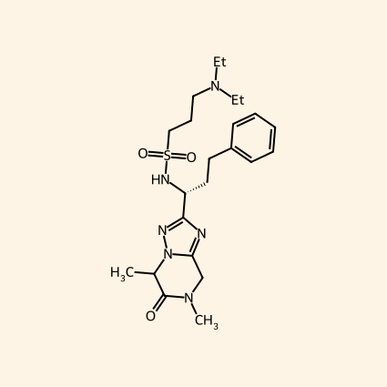 CCN(CC)CCCS(=O)(=O)N[C@H](CCc1ccccc1)c1nc2n(n1)C(C)C(=O)N(C)C2